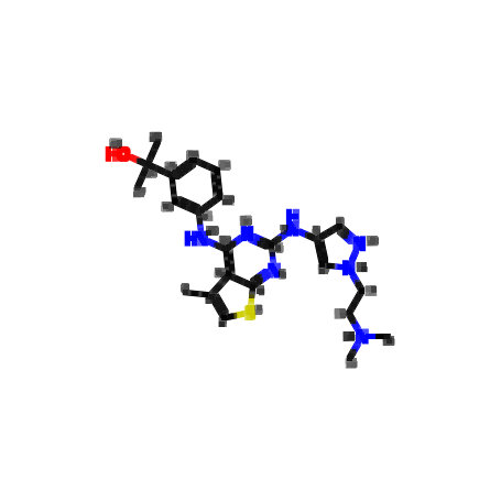 Cc1csc2nc(Nc3cnn(CCN(C)C)c3)nc(Nc3cccc(C(C)(C)O)c3)c12